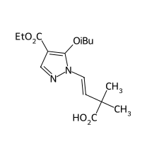 CCOC(=O)c1cnn(/C=C/C(C)(C)C(=O)O)c1OCC(C)C